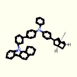 C[C@H]1C[C@H]2C[C@H]3CC(c4ccc(N(c5ccccc5)c5ccc(-c6cccc(-n7c8ccccc8c8ccc9ccccc9c87)c6)cc5)cc4)(CC23)C1